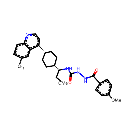 COCC(NC(=O)NNC(=O)c1ccc(OC)cc1)[C@H]1CC[C@@H](c2ccnc3ccc(C(F)(F)F)cc32)CC1